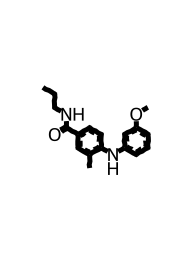 CCCNC(=O)c1ccc(Nc2cccc(OC)c2)c(C)c1